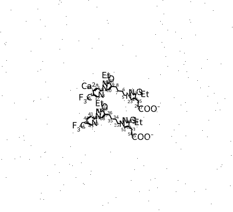 CCOc1nn(CCCCc2cn(-c3ccc(C(F)(F)F)cn3)nc2OCC)cc1CCC(=O)[O-].CCOc1nn(CCCCc2cn(-c3ccc(C(F)(F)F)cn3)nc2OCC)cc1CCC(=O)[O-].[Ca+2]